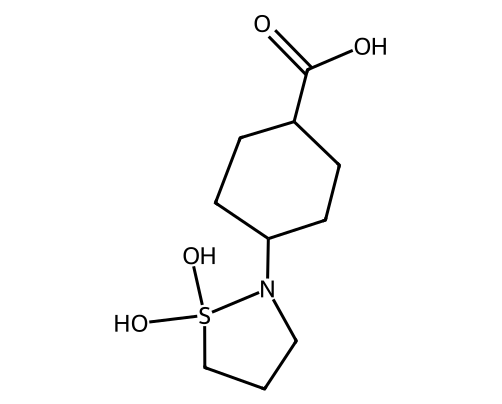 O=C(O)C1CCC(N2CCCS2(O)O)CC1